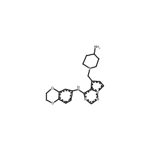 NC1CCN(Cc2ccn3ncnc(Nc4ccc5c(c4)OCCO5)c23)CC1